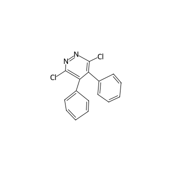 Clc1nnc(Cl)c(-c2ccccc2)c1-c1ccccc1